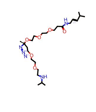 CC(C)/C=C/CNC(=O)CCOCCOCCO[C@](C)(CCOCCOCCNC(C)C)N=[N+]=[N-]